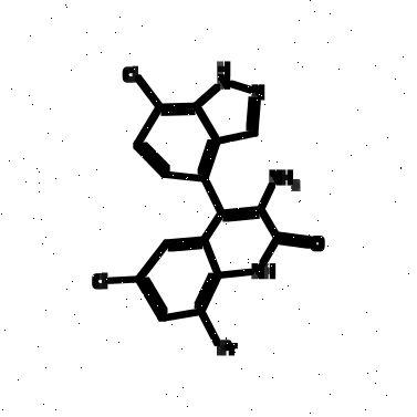 CC(C)c1cc(Cl)cc2c(-c3ccc(Cl)c4[nH]ncc34)c(N)c(=O)[nH]c12